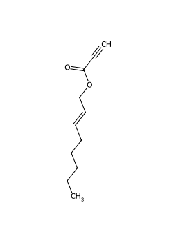 C#CC(=O)OCC=CCCCCC